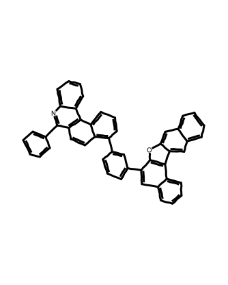 c1ccc(-c2nc3ccccc3c3c2ccc2c(-c4cccc(-c5cc6ccccc6c6c5oc5cc7ccccc7cc56)c4)cccc23)cc1